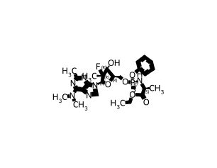 CCOC(=O)[C@H](C)N[P@@](=S)(OC[C@H]1O[C@@H](n2cnc3c(N(C)C)nc(C)nc32)[C@](C)(F)[C@@H]1O)Oc1ccccc1